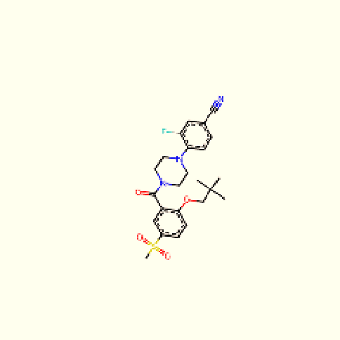 CC(C)(C)COc1ccc(S(C)(=O)=O)cc1C(=O)N1CCN(c2ccc(C#N)cc2F)CC1